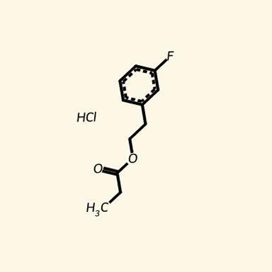 CCC(=O)OCCc1cccc(F)c1.Cl